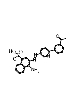 CC(=O)c1cccc(-c2ccc(N=Nc3cc(S(=O)(=O)O)c4ccccc4c3N)cn2)c1